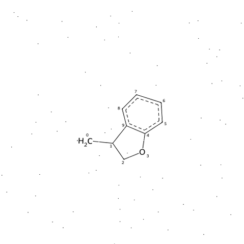 [CH2]C1COc2ccccc21